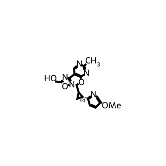 COc1ccc([C@@H]2CC2COc2nc(C)ncc2-c2noc(CO)n2)nc1